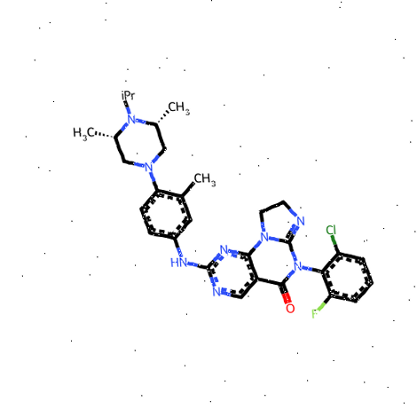 Cc1cc(Nc2ncc3c(n2)N2CCN=C2N(c2c(F)cccc2Cl)C3=O)ccc1N1C[C@@H](C)N(C(C)C)[C@@H](C)C1